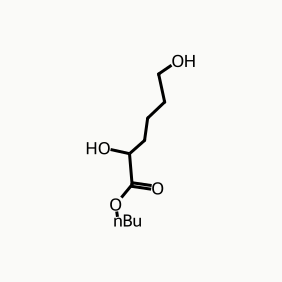 CCCCOC(=O)C(O)CCCCO